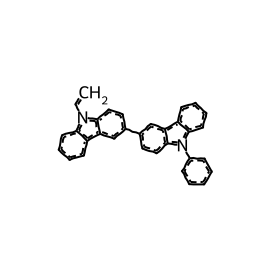 C=Cn1c2ccccc2c2cc(-c3ccc4c(c3)c3ccccc3n4-c3ccccc3)ccc21